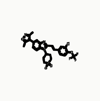 Cc1noc(C)c1-c1ccc2c(c1)nc(CCc1ccc(OC(F)(F)F)c(Cl)c1)n2C1CCS(=O)(=O)CC1